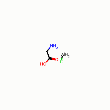 NCC(=O)O.[AlH2][Cl]